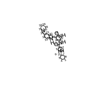 C[C@@H](c1ccccc1)n1cc(C(=O)Nc2c[nH]c(=O)c(-c3cc4cc(CN5CCCCC5)ccc4[nH]3)c2)cn1